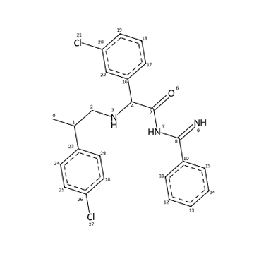 CC(CNC(C(=O)NC(=N)c1ccccc1)c1cccc(Cl)c1)c1ccc(Cl)cc1